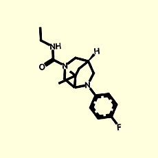 CCNC(=O)N1CC2N(c3ccc(F)cc3)C[C@@H](C1)CC2(C)C